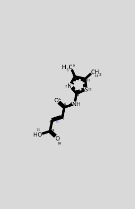 Cc1nc(NC(=O)/C=C/C(=O)O)sc1C